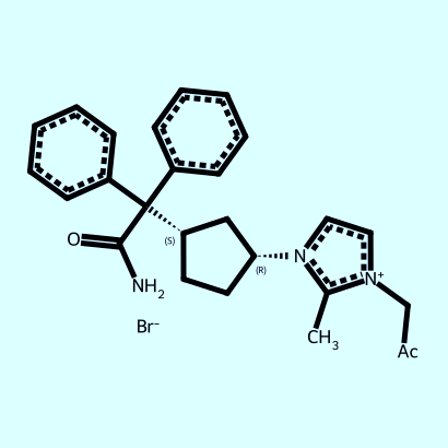 CC(=O)C[n+]1ccn([C@@H]2CC[C@H](C(C(N)=O)(c3ccccc3)c3ccccc3)C2)c1C.[Br-]